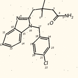 CC(C)(CC(N)=O)Cc1nc2ccccc2n1Cc1ccc(Cl)cc1